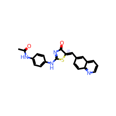 CC(=O)Nc1ccc(NC2=NC(=O)/C(=C/c3ccc4ncccc4c3)S2)cc1